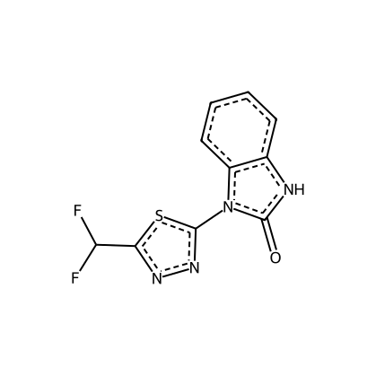 O=c1[nH]c2ccccc2n1-c1nnc(C(F)F)s1